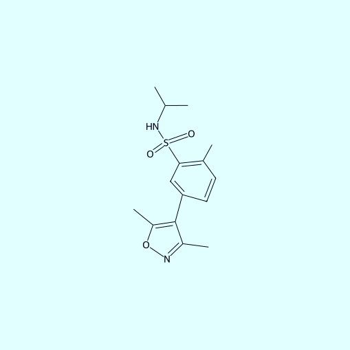 Cc1ccc(-c2c(C)noc2C)cc1S(=O)(=O)NC(C)C